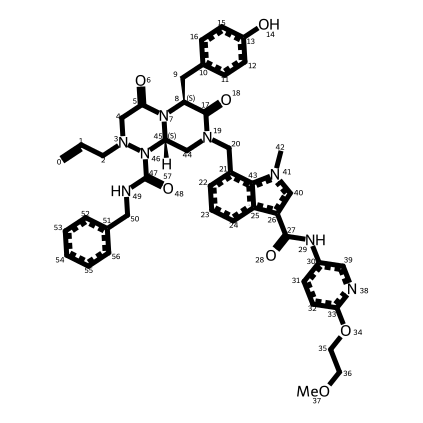 C=CCN1CC(=O)N2[C@@H](Cc3ccc(O)cc3)C(=O)N(Cc3cccc4c(C(=O)Nc5ccc(OCCOC)nc5)cn(C)c34)C[C@@H]2N1C(=O)NCc1ccccc1